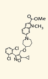 COC(=O)c1cc2ccc(N3CCCC(OCc4c(-c5c(Cl)cccc5Cl)noc4C4CC4)CC3)cc2n1C